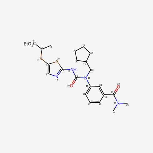 CCOC(=O)C(C)Sc1cnc(NC(=O)N(CC2CCCC2)c2cccc(C(=O)N(C)C)c2)s1